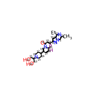 CCc1nc(C)cn2nc(C3=CC(=O)N4C=C(C5CCN(C(CO)CO)CC5)C=CC4P3)cc12